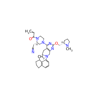 C=CC(=O)N1CCN(c2nc(OC[C@@H]3CCCN3C)nc3c2CCN(c2cccc4c2C(C)CCC4)C3)C[C@@H]1CC#N